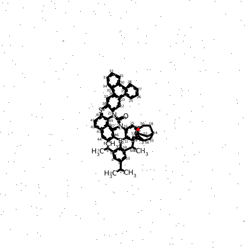 CC(C)c1cc(C(C)C)c(B2c3cc4c(cc3-n3c(=O)n5c6cc7c8ccccc8c8ccccc8c7cc6sc6ccc7ccc2c3c7c6-5)C2CC3CC(CC4C3)C2)c(C(C)C)c1